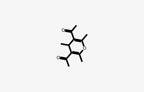 CC(=O)C1=C(C)OC(C)=C(C(C)=O)C1C